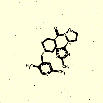 Cc1cc(C[C@H]2CC[C@H](C(=O)N3OCC[C@H]3c3csc(C)n3)CC2)c(C)cn1